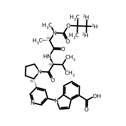 [2H]C([2H])([2H])C(C)(C)OC(=O)N(C)[C@@H](C)C(=O)N[C@H](C(=O)N1CCC[C@H]1c1cncc(-n2ccc3c(C(=O)O)cccc32)c1)C(C)C